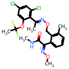 CNC(=O)/C(=N/OC)c1cccc(C)c1CO/N=C(\C)c1c(Cl)cc(Cl)cc1OC(C)(F)F